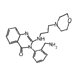 NCc1ccccc1-n1c(NCCCN2CCOCC2)nc2ccccc2c1=O